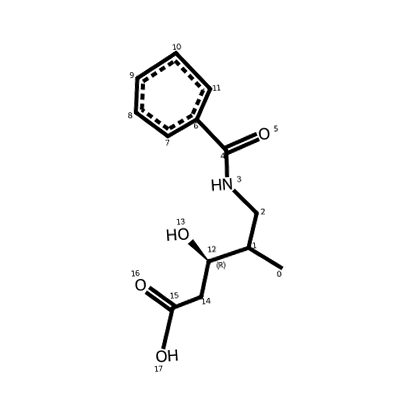 CC(CNC(=O)c1ccccc1)[C@H](O)CC(=O)O